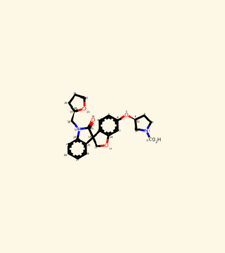 O=C(O)N1CC[C@H](Oc2ccc3c(c2)OCC32C(=O)N(C[C@H]3CCCO3)c3ccccc32)C1